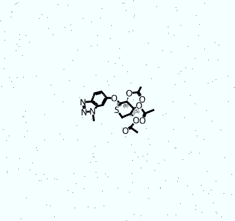 CC(=O)O[C@@H]1[C@@H](OC(C)=O)[C@H](OC(C)=O)CS[C@H]1Oc1ccc2nnn(C)c2c1